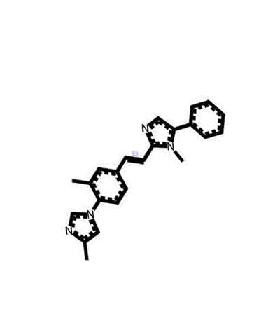 Cc1cn(-c2ccc(/C=C/c3ncc(-c4ccccc4)n3C)cc2C)cn1